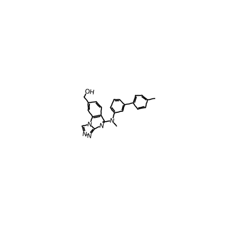 Cc1ccc(-c2cccc(N(C)c3nc4nncn4c4cc(CO)ccc34)c2)cc1